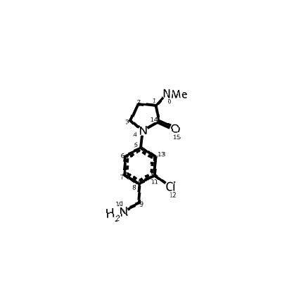 CNC1CCN(c2ccc(CN)c(Cl)c2)C1=O